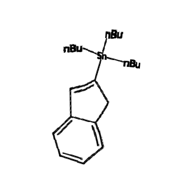 CCC[CH2][Sn]([CH2]CCC)([CH2]CCC)[C]1=Cc2ccccc2C1